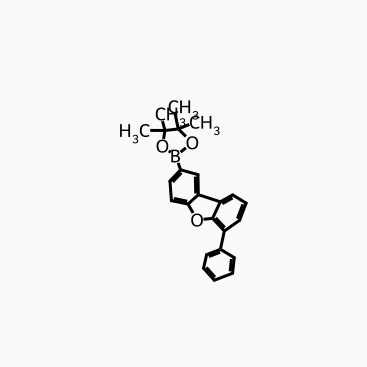 CC1(C)OB(c2ccc3oc4c(-c5ccccc5)cccc4c3c2)OC1(C)C